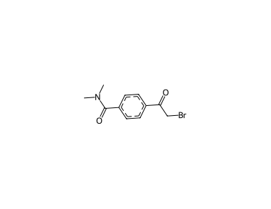 CN(C)C(=O)c1ccc(C(=O)CBr)cc1